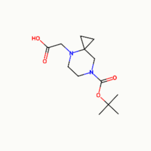 CC(C)(C)OC(=O)N1CCN(CC(=O)O)C2(CC2)C1